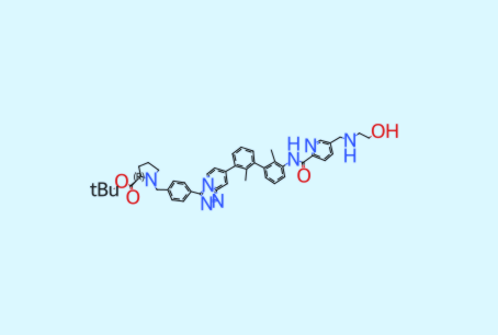 Cc1c(NC(=O)c2ccc(CNCCO)cn2)cccc1-c1cccc(-c2ccn3c(-c4ccc(CN5CCC[C@@H]5C(=O)OC(C)(C)C)cc4)nnc3c2)c1C